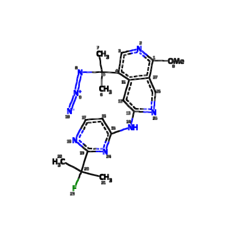 COc1ncc(C(C)(C)N=[N+]=[N-])c2cc(Nc3ccnc(C(C)(C)F)n3)ncc12